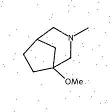 COC12CCC(CN(C)C1)C2